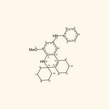 COc1cc(Nc2ccccc2)cc2c1NC1(CCCCC1)C1=C2CCCC1